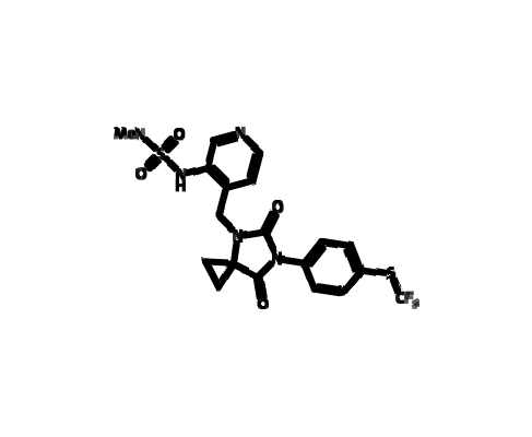 CNS(=O)(=O)Nc1cnccc1CN1C(=O)N(c2ccc(SC(F)(F)F)cc2)C(=O)C12CC2